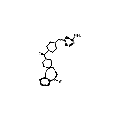 CCCN1CCC2(CCN(C(=O)C3CCN(Cc4ccnc(N)c4)CC3)CC2)Oc2ccccc21